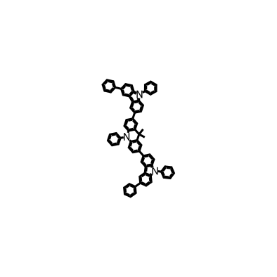 CC1(C)c2cc(-c3ccc4c(c3)c3cc(-c5ccccc5)ccc3n4-c3ccccc3)ccc2N(c2ccccc2)c2ccc(-c3ccc4c(c3)c3cc(-c5ccccc5)ccc3n4-c3ccccc3)cc21